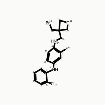 Fc1cc(Nc2ccccc2Cl)ccc1NCC1(CBr)COC1